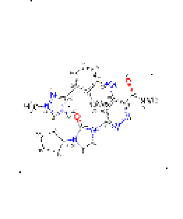 CNC(=O)c1nnc(N2CCN(C3CCCC3)C2=O)cc1Nc1cccc(-c2ncn(C)n2)c1OC